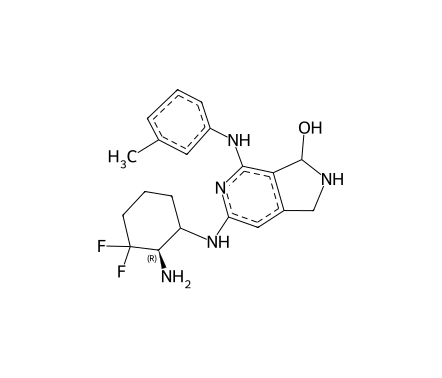 Cc1cccc(Nc2nc(NC3CCCC(F)(F)[C@@H]3N)cc3c2C(O)NC3)c1